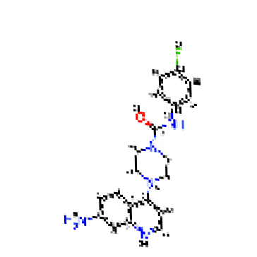 Nc1ccc2c(N3CCN(C(=O)Nc4ccc(F)cc4)CC3)ccnc2c1